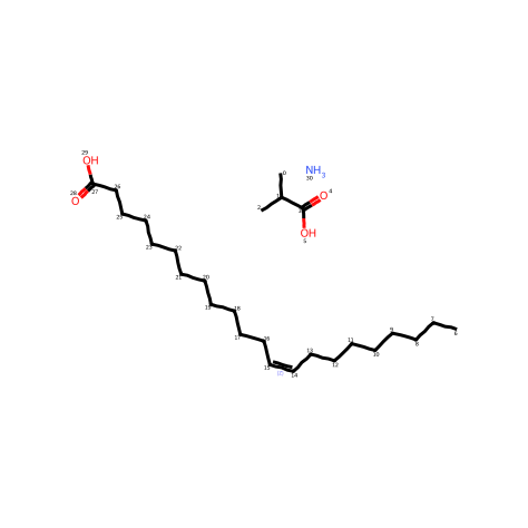 CC(C)C(=O)O.CCCCCCCC/C=C\CCCCCCCCCCCC(=O)O.N